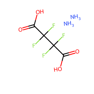 N.N.O=C(O)C(F)(F)C(F)(F)C(=O)O